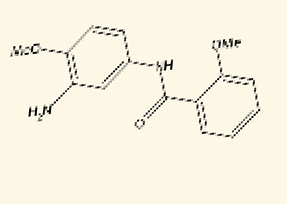 COc1ccc(NC(=O)c2ccccc2OC)cc1N